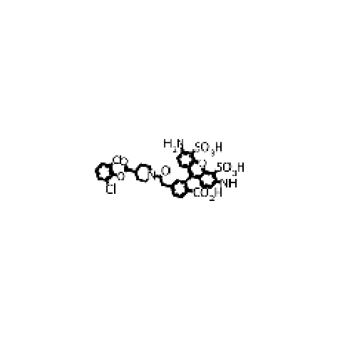 N=c1ccc2c(-c3cc(CC(=O)N4CCC(C(=O)Oc5c(Cl)cccc5Cl)CC4)ccc3C(=O)O)c3ccc(N)c(S(=O)(=O)O)c3oc-2c1S(=O)(=O)O